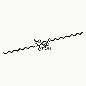 CCCCCCCCCCCCOC(=O)CC(OCC)(C(=O)OCCCCCCCCCCCC)S(=O)(=O)O